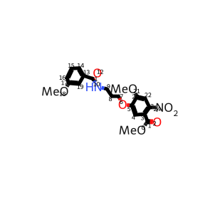 COC(=O)c1cc(OCCCNC(=O)c2cccc(OC)c2)c(OC)cc1[N+](=O)[O-]